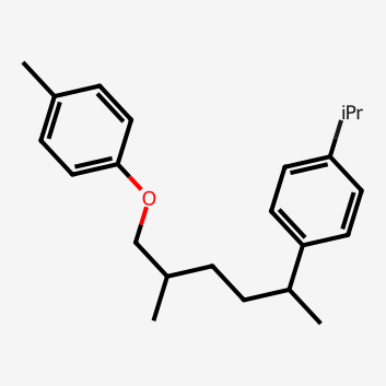 Cc1ccc(OCC(C)CCC(C)c2ccc(C(C)C)cc2)cc1